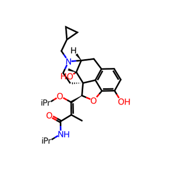 C/C(C(=O)NC(C)C)=C(/OC(C)C)[C@@H]1Oc2c(O)ccc3c2[C@@]12CCN(CC1CC1)[C@H](C3)[C@@]2(C)O